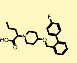 CCCC(C(=O)O)N1CCC(OCc2ccccc2-c2ccc(F)cc2)CC1